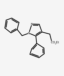 CCOC(=O)Cc1cnn(Cc2ccccc2)c1-c1ccccc1